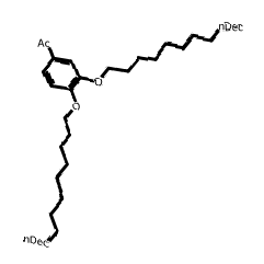 CCCCCCCCCCCCCCCCCCOc1ccc(C(C)=O)cc1OCCCCCCCCCCCCCCCCCC